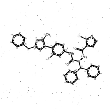 CCn1nccc1C(=O)N[C@H](C(=O)Nc1ccc(-c2cn(Cc3ccccc3)nc2C)c(F)c1)C(c1ccccc1)c1ccccc1